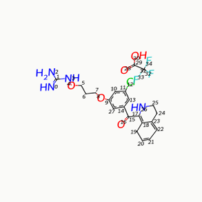 N=C(N)NOCCCOc1cc(Cl)cc(C(=O)C2=C3CC=CC=C3CCN2)c1.O=C(O)C(F)(F)F